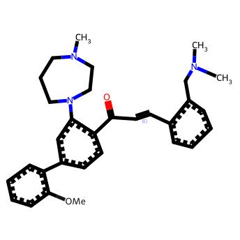 COc1ccccc1-c1ccc(C(=O)/C=C/c2ccccc2CN(C)C)c(N2CCCN(C)CC2)c1